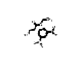 CCCC(=O)OCC.O=[N+]([O-])c1cccc([N+](=O)[O-])c1